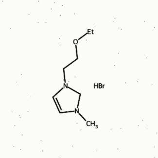 Br.CCOCCN1C=CN(C)C1